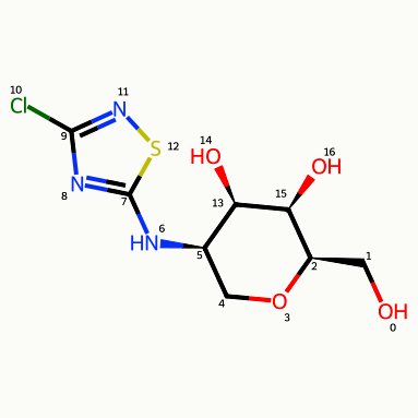 OC[C@H]1OC[C@@H](Nc2nc(Cl)ns2)[C@@H](O)[C@H]1O